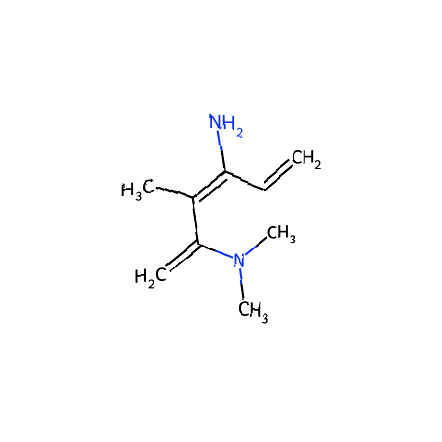 C=C/C(N)=C(/C)C(=C)N(C)C